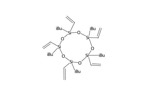 C=C[Si]1(C(C)CC)O[Si](C=C)(C(C)CC)O[Si](C=C)(C(C)CC)O[Si](C=C)(C(C)CC)O[Si](C=C)(C(C)CC)O1